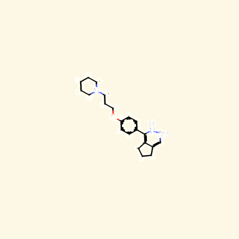 C1=C2CCCC2=C(c2ccc(OCCCN3CCCCC3)cc2)NN1